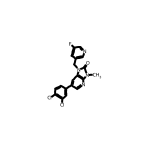 Cn1c(=O)n(Cc2cncc(F)c2)c2cc(-c3ccc(Cl)c(Cl)c3)cnc21